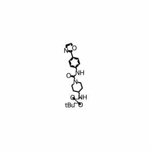 CC(C)(C)S(=O)(=O)NC1CCN(C(=O)Nc2ccc(-c3ncco3)cc2)CC1